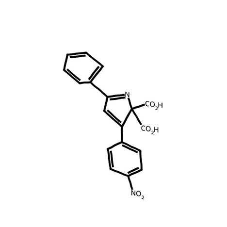 O=C(O)C1(C(=O)O)N=C(c2ccccc2)C=C1c1ccc([N+](=O)[O-])cc1